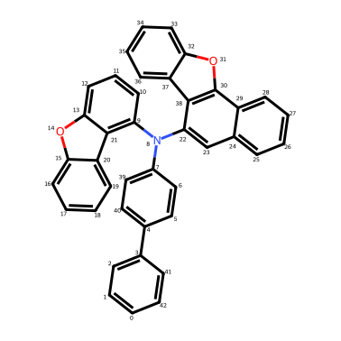 c1ccc(-c2ccc(N(c3cccc4oc5ccccc5c34)c3cc4ccccc4c4oc5ccccc5c34)cc2)cc1